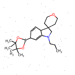 CCCN1CC2(CCOCC2)C2C=CC(B3OC(C)(C)C(C)(C)O3)C=C21